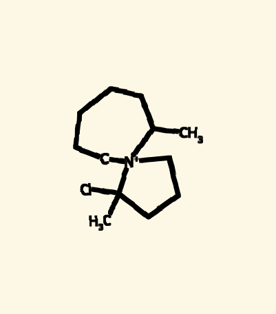 CC1CCCCC[N+]12CCCC2(C)Cl